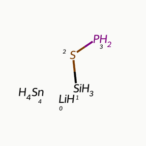 [LiH].[SiH3]SP.[SnH4]